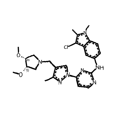 CO[C@H]1CN(Cc2cn(-c3ccnc(Nc4ccc5c(c4)c(Cl)c(C)n5C)n3)nc2C)C[C@H]1OC